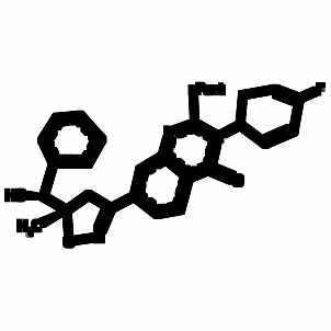 CCCCCc1nc2cc(C3=NO[C@](C)([C@@H](O)c4ccccc4)C3)ccc2c(=O)n1C1C=CC(F)=CC1